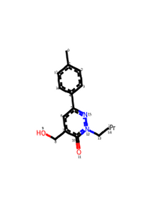 Cc1ccc(-c2cc(CO)c(=O)n(CC(C)C)n2)cc1